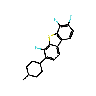 CC1CCC(c2ccc3c(sc4c(F)c(F)ccc43)c2F)CC1